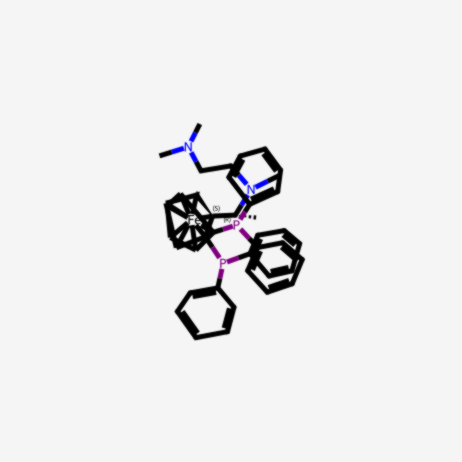 C[C@@H](N(C)CCN(C)C)[C@]12[CH]3[CH]4[CH]5[C]1(P(c1ccccc1)c1ccccc1)[Fe]45321678[CH]2[CH]1[CH]6[C]7(P(c1ccccc1)c1ccccc1)[CH]28